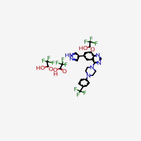 FC(F)(F)c1ccc(N2CCN(c3ncnc4ccc(-c5cn[nH]c5)cc34)CC2)cc1.O=C(O)C(F)(F)F.O=C(O)C(F)(F)F.O=C(O)C(F)(F)F